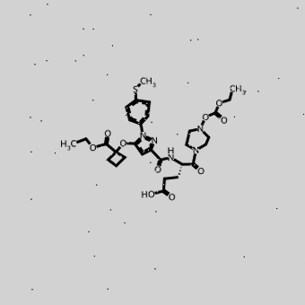 CCOC(=O)ON1CCN(C(=O)[C@H](CCC(=O)O)NC(=O)c2cc(OC3(C(=O)OCC)CCC3)n(-c3ccc(SC)cc3)n2)CC1